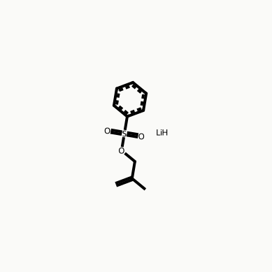 C=C(C)COS(=O)(=O)c1ccccc1.[LiH]